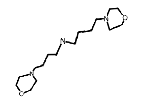 C(CCN1CCOCC1)C[N]CCCCN1CCOCC1